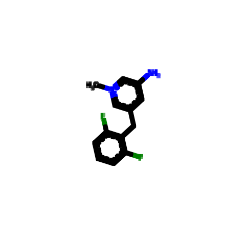 C[n+]1cc(N)cc(Cc2c(F)cccc2F)c1